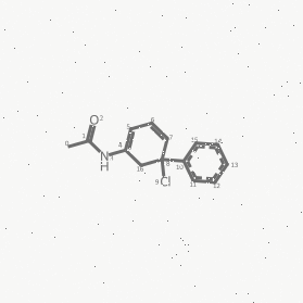 CC(=O)NC1=CC=CC(Cl)(c2ccccc2)C1